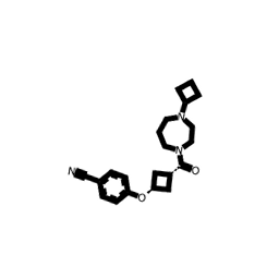 N#Cc1ccc(O[C@H]2C[C@@H](C(=O)N3CCCN(C4CCC4)CC3)C2)cc1